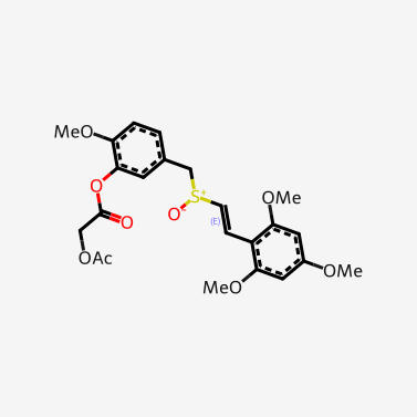 COc1cc(OC)c(/C=C/[S+]([O-])Cc2ccc(OC)c(OC(=O)COC(C)=O)c2)c(OC)c1